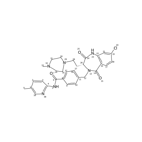 Cc1ccc(NC(=O)c2ccc(CN3C(=O)c4ccc(Cl)cc4NC(=O)[C@H]3CCN3CCN(C)CC3)cc2)nc1